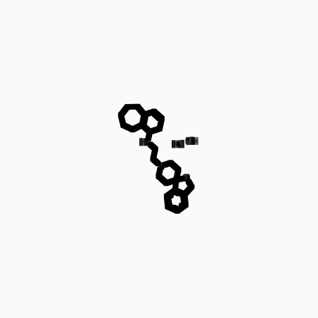 C1=CC2=C(CCCCC2)C(NCCN2CCC3(CC2)OCc2ccccc23)C1.Cl.Cl